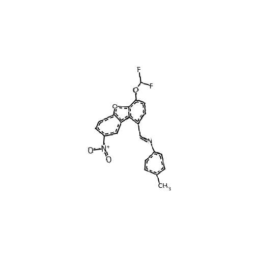 Cc1ccc(N=Cc2ccc(OC(F)F)c3oc4ccc([N+](=O)[O-])cc4c23)cc1